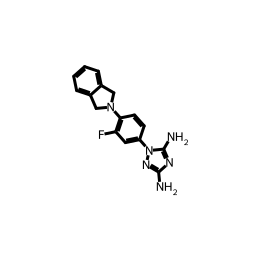 Nc1nc(N)n(-c2ccc(N3Cc4ccccc4C3)c(F)c2)n1